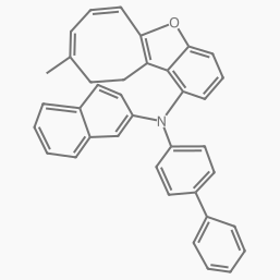 C/C1=C/C=C\c2oc3cccc(N(c4ccc(-c5ccccc5)cc4)c4ccc5ccccc5c4)c3c2CC1